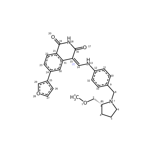 COC[C@H]1CCCN1Cc1ccc(N/C=C2\C(=O)NC(=O)c3ccc(-c4ccoc4)cc32)cc1